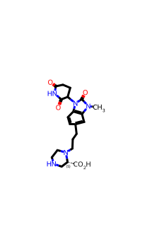 Cn1c(=O)n(C2CCC(=O)NC2=O)c2ccc(CCCN3CCNC[C@H]3C(=O)O)cc21